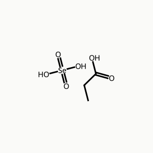 CCC(=O)O.O=[Se](=O)(O)O